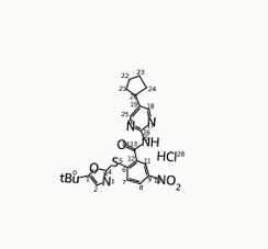 CC(C)(C)c1cnc(Sc2ccc([N+](=O)[O-])cc2C(=O)Nc2ncc(C3CCCC3)cn2)o1.Cl